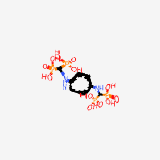 O=P(O)(O)C(Nc1ccc(NC(P(=O)(O)O)P(=O)(O)O)cc1)P(=O)(O)O